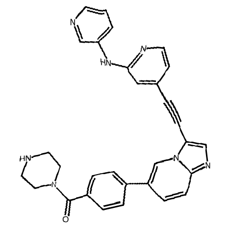 O=C(c1ccc(-c2ccc3ncc(C#Cc4ccnc(Nc5cccnc5)c4)n3c2)cc1)N1CCNCC1